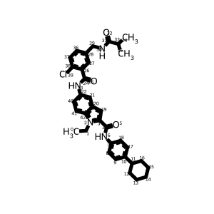 CCn1c(C(=O)Nc2ccc(C3CCCCC3)cc2)cc2cc(NC(=O)c3cc(CNC(=O)C(C)C)ccc3Cl)ccc21